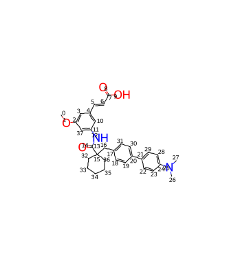 COc1cc(/C=C/C(=O)O)cc(NC(=O)C2(Cc3ccc(-c4ccc(N(C)C)cc4)cc3)CCCCC2)c1